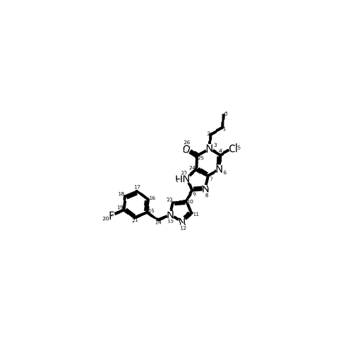 CCCn1c(Cl)nc2nc(-c3cnn(Cc4cccc(F)c4)c3)[nH]c2c1=O